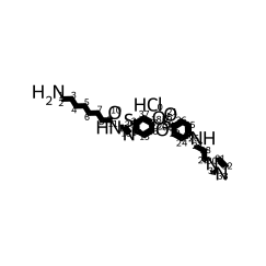 Cl.NCCCCCCCC(=O)Nc1nc2ccc(OS(=O)(=O)c3ccc(NCCCn4ccnc4)cc3)cc2s1